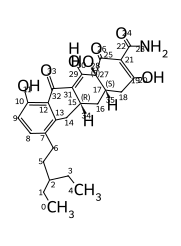 CCC(CC)CCc1ccc(O)c2c1C[C@H]1C[C@H]3CC(O)=C(C(N)=O)C(=O)[C@@]3(O)C(O)=C1C2=O